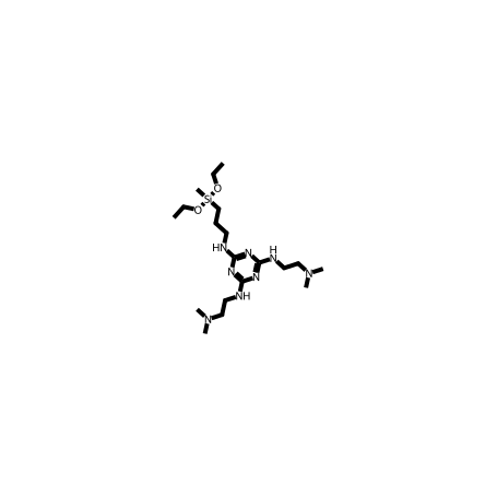 CCO[Si](C)(CCCNc1nc(NCCN(C)C)nc(NCCN(C)C)n1)OCC